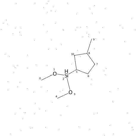 CO[SiH](OC)C1CCC(C)C1